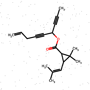 C=CCC#CC(C#CC)OC(=O)C1C(C=C(C)C)C1(C)C